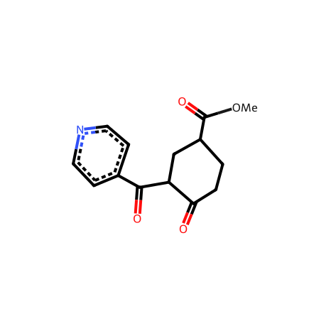 COC(=O)C1CCC(=O)C(C(=O)c2ccncc2)C1